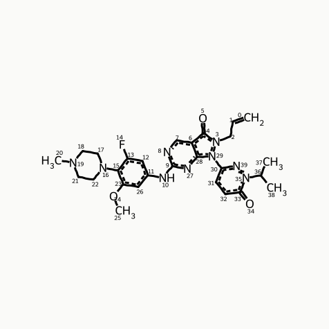 C=CCn1c(=O)c2cnc(Nc3cc(F)c(N4CCN(C)CC4)c(OC)c3)nc2n1-c1ccc(=O)n(C(C)C)n1